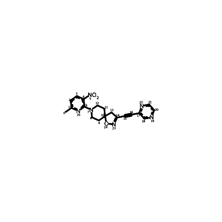 Cc1ccc([N+](=O)[O-])c(N2CCC3(CC2)CC(C#Cc2cnccn2)=NO3)n1